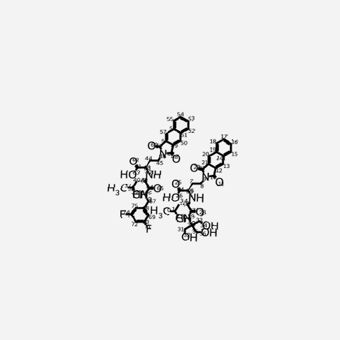 CC(C)C[C@H](N[C@H](CCN1C(=O)c2cc3ccccc3cc2C1=O)C(=O)O)C(=O)NC(CO)(CO)CO.CC(C)C[C@H](N[C@H](CCN1C(=O)c2cc3ccccc3cc2C1=O)C(=O)O)C(=O)NCc1cc(F)cc(F)c1